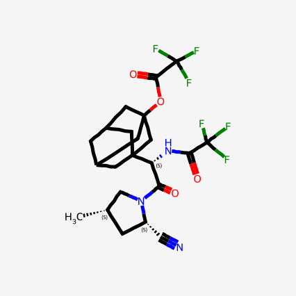 C[C@H]1C[C@@H](C#N)N(C(=O)[C@@H](NC(=O)C(F)(F)F)C23CC4CC(CC(OC(=O)C(F)(F)F)(C4)C2)C3)C1